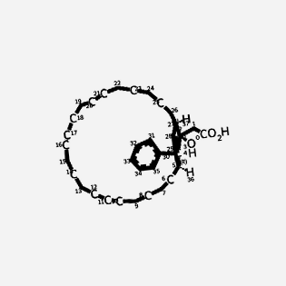 O=C(O)C[C@]1(O)C[C@H]2CCCCCCCCCCCCCCCCCCCCC[C@@H]1C=C2c1ccccc1